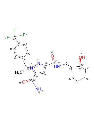 C[C@H](c1ccc(C(F)(F)F)cc1)n1nc(C(=O)NCC2CCCC[C@@H]2O)cc1C(N)=O